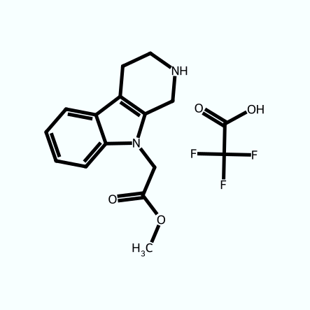 COC(=O)Cn1c2c(c3ccccc31)CCNC2.O=C(O)C(F)(F)F